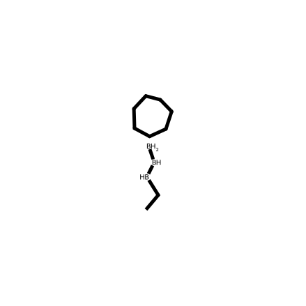 BBBCC.C1CCCCCC1